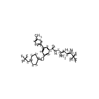 Cc1cnc(-c2cc(OC3CCN(CC(F)(F)F)CC3)cc(C(=O)NC/C(N)=C/C=C(\N)C(F)(F)F)c2)s1